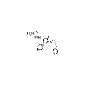 CN1CCN(c2cc(N3CCC(Cc4ccccc4)C3)c(F)cc2C=NNC(N)=S)CC1